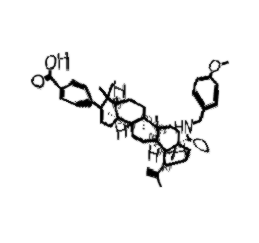 C=C(C)[C@@H]1CC[C@]2(C(=O)NCc3ccc(OC)cc3)CC[C@]3(C)[C@H](CC[C@@H]4[C@@]5(C)CC=C(c6ccc(C(=O)O)cc6)C(C)(C)[C@@H]5CC[C@]43C)[C@@H]12